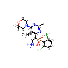 Cc1nc(C(CN)S(=O)(=O)c2c(F)cccc2F)c([N+](=O)[O-])c(N2CCOC(C)(C)C2)n1